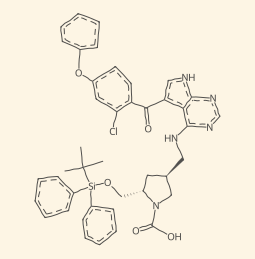 CC(C)(C)[Si](OC[C@@H]1C[C@@H](CNc2ncnc3[nH]cc(C(=O)c4ccc(Oc5ccccc5)cc4Cl)c23)CN1C(=O)O)(c1ccccc1)c1ccccc1